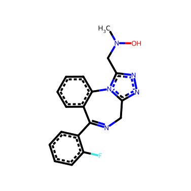 CN(O)Cc1nnc2n1-c1ccccc1C(c1ccccc1F)=NC2